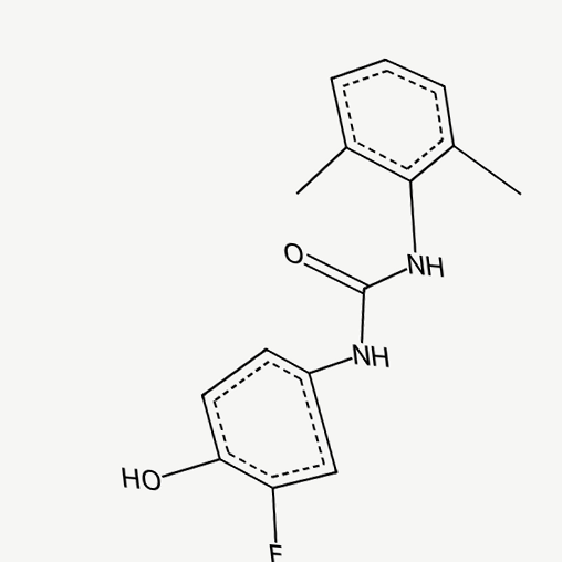 Cc1cccc(C)c1NC(=O)Nc1ccc(O)c(F)c1